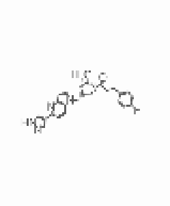 C[C@@H]1C[C@@H](Cn2ccc3nc(-c4cn[nH]c4)ccc32)CN1C(=O)CCc1ccc(F)cc1